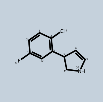 Fc1ccc(Cl)c(C2C=CNC2)c1